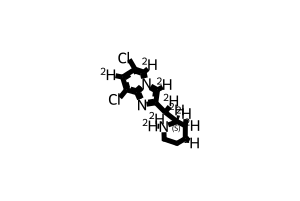 [2H]c1c(Cl)c([2H])n2c([2H])c(C([2H])([2H])[C@@]3([2H])N([2H])CCC([2H])C3([2H])[2H])nc2c1Cl